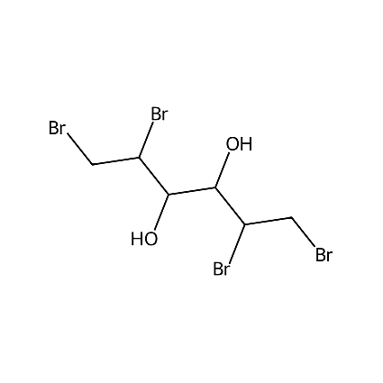 OC(C(Br)CBr)C(O)C(Br)CBr